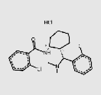 CN(C)C(c1ccccc1Cl)[C@H]1CCCC[C@H]1NC(=O)c1ccccc1Cl.Cl